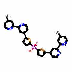 Cc1ccnc(-c2cc(-c3ccc(P(=O)(O)c4ccc(-c5ccnc(-c6cc(C)ccn6)c5)s4)s3)ccn2)c1